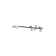 CCNC(=O)CCCNC(=O)CCCNC(=O)CCCCCCCCCCCCCCC(=O)O